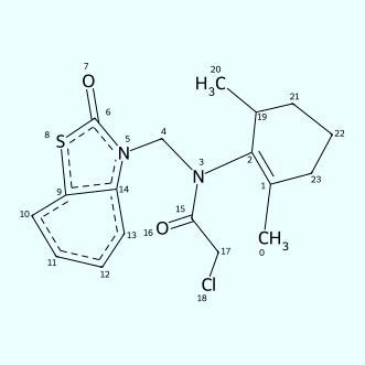 CC1=C(N(Cn2c(=O)sc3ccccc32)C(=O)CCl)C(C)CCC1